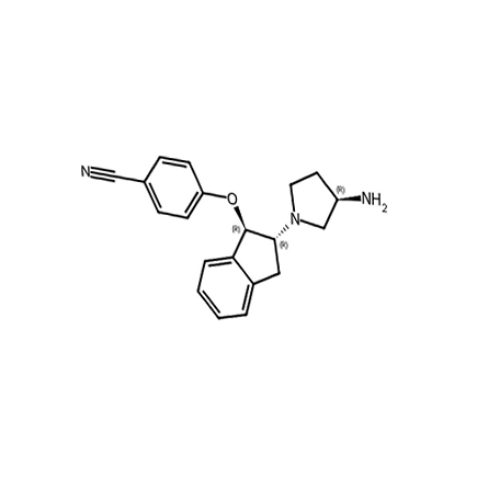 N#Cc1ccc(O[C@@H]2c3ccccc3C[C@H]2N2CC[C@@H](N)C2)cc1